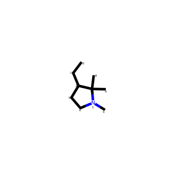 CCC1CCN(C)C1(C)C